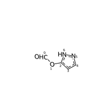 O=COc1ccn[nH]1